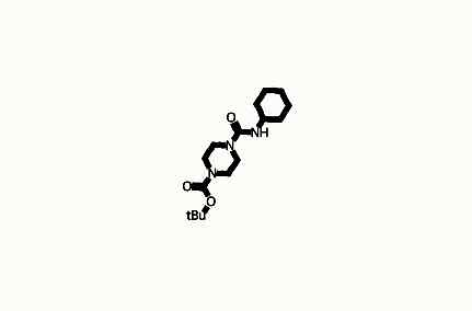 CC(C)(C)OC(=O)N1CCN(C(=O)NC2CCCCC2)CC1